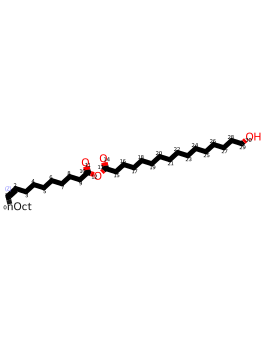 CCCCCCCC/C=C\CCCCCCCC(=O)OC(=O)CCCCCCCCCCCCCCCO